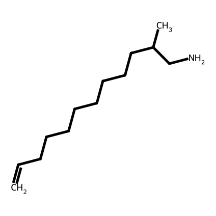 C=CCCCCCCCCC(C)CN